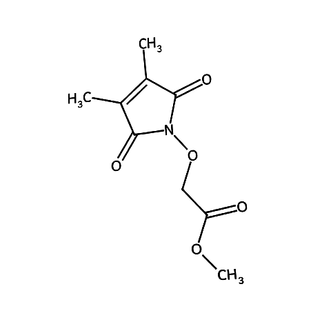 COC(=O)CON1C(=O)C(C)=C(C)C1=O